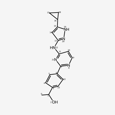 CC(O)c1ccc(-c2nccc(Nc3cc(C4CC4)[nH]n3)n2)cc1